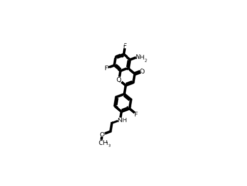 COCCNc1ccc(-c2cc(=O)c3c(N)c(F)cc(F)c3o2)cc1F